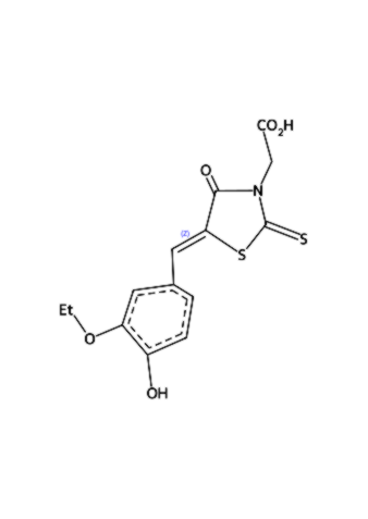 CCOc1cc(/C=C2\SC(=S)N(CC(=O)O)C2=O)ccc1O